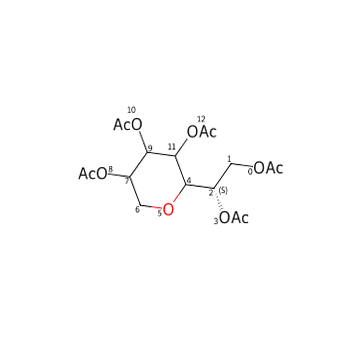 CC(=O)OC[C@H](OC(C)=O)C1OCC(OC(C)=O)C(OC(C)=O)C1OC(C)=O